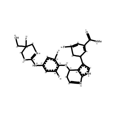 CNC(=O)C1=CC(c2c[nH]c3c2C(Oc2c(F)cc(NC4=NCC(F)(CO)CO4)cc2F)CC=N3)CC(F)=C1